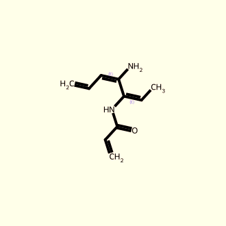 C=C/C=C(N)\C(=C/C)NC(=O)C=C